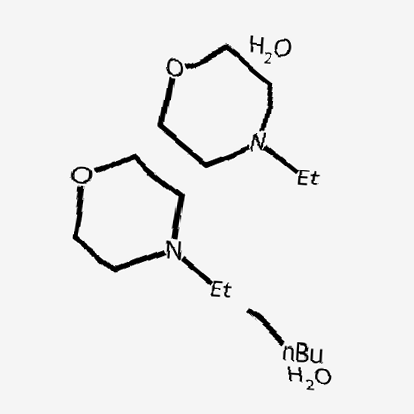 CCCCC.CCN1CCOCC1.CCN1CCOCC1.O.O